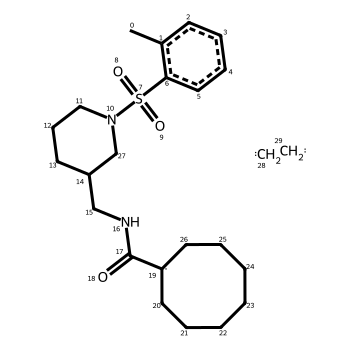 Cc1ccccc1S(=O)(=O)N1CCCC(CNC(=O)[C]2CCCCCCC2)C1.[CH2].[CH2]